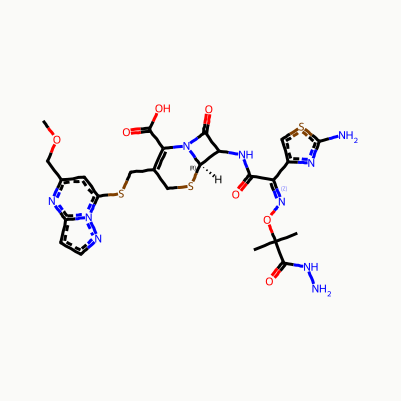 COCc1cc(SCC2=C(C(=O)O)N3C(=O)C(NC(=O)/C(=N\OC(C)(C)C(=O)NN)c4csc(N)n4)[C@H]3SC2)n2nccc2n1